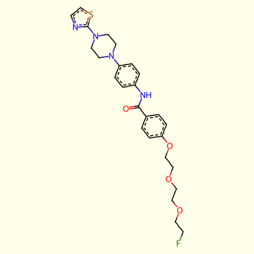 O=C(Nc1ccc(N2CCN(c3nccs3)CC2)cc1)c1ccc(OCCOCCOCCF)cc1